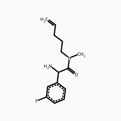 C=CCCCN(C)C(=O)C(N)c1cccc(F)c1